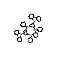 c1ccc(B2c3cc(cc(-n4c5ccccc5c5ccccc54)c3)N(c3ccccc3)c3ccccc3N(c3ccccc3)c3cc2cc(-n2c4ccccc4c4ccccc42)c3)cc1